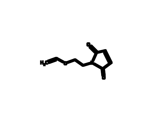 C=COCCN1C(=O)C=CC1=O